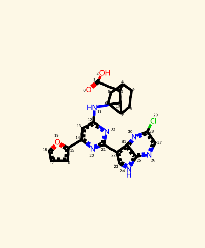 O=C(O)C1C2CCC(CC2)C1Nc1cc(-c2ccco2)nc(-c2c[nH]c3ncc(Cl)nc23)n1